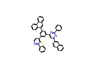 c1ccc(-c2nc(-c3cc(-c4cc5ccccc5c5ccccc45)cc(-c4ccnc5c4sc4ccccc45)c3)cc(-c3ccc4ccccc4c3)n2)cc1